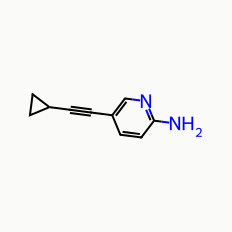 Nc1ccc(C#CC2CC2)cn1